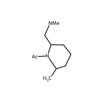 CNCC1CCCC(C)N1C(C)=O